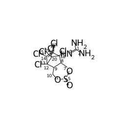 N=C(N)N.O=S1OCC2C(CO1)C1(Cl)C(Cl)=C(Cl)C2(Cl)C1(Cl)Cl